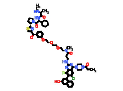 C=CC(=O)N1CCN(c2nc(NCCC(=O)N(C)CCOCCOCCOc3cccc(C(=O)c4csc([C@@H]5CCCN5C(=O)[C@@H](NC(=O)[C@H](C)NC)C5CCCCC5)n4)c3)nc3c(F)c(-c4cc(O)cc5ccccc45)c(Cl)cc23)CC1